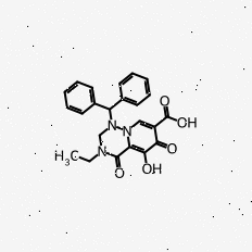 CCN1CN(C(c2ccccc2)c2ccccc2)n2cc(C(=O)O)c(=O)c(O)c2C1=O